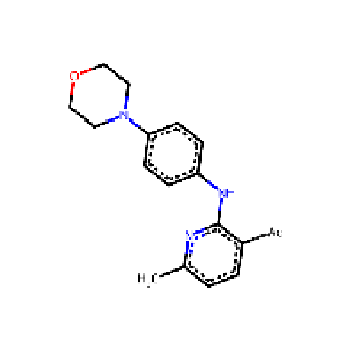 CC(=O)c1ccc(C)nc1Nc1ccc(N2CCOCC2)cc1